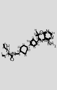 CCN[C@@H](CC)C(=O)NC[C@H]1CC[C@H](c2ccc(C3=Nc4c(N)ncnc4OC3(C)C)cc2)CC1